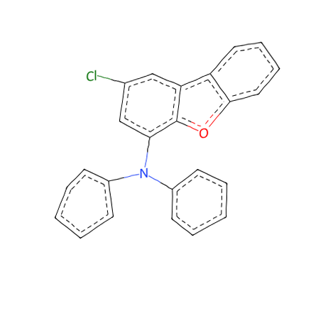 Clc1cc(N(c2ccccc2)c2ccccc2)c2oc3ccccc3c2c1